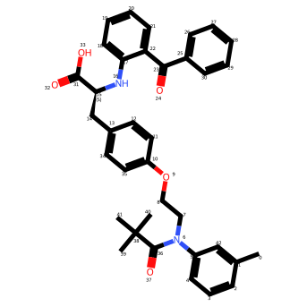 Cc1cccc(N(CCOc2ccc(C[C@H](Nc3ccccc3C(=O)c3ccccc3)C(=O)O)cc2)C(=O)C(C)(C)C)c1